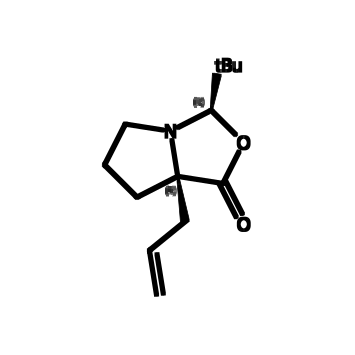 C=CC[C@@]12CCCN1[C@@H](C(C)(C)C)OC2=O